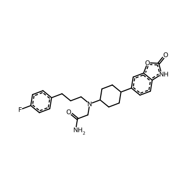 NC(=O)CN(CCCc1ccc(F)cc1)C1CCC(c2ccc3[nH]c(=O)oc3c2)CC1